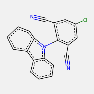 N#Cc1cc(Cl)cc(C#N)c1-n1c2ccccc2c2ccccc21